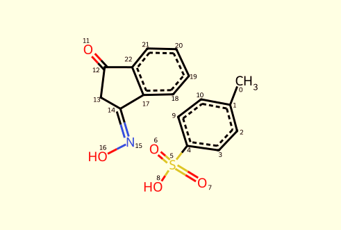 Cc1ccc(S(=O)(=O)O)cc1.O=C1CC(=NO)c2ccccc21